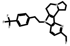 FCc1ccc2c(n1)c1c(n2CCc2ccc(C(F)(F)F)cc2)CCN2CCCC12